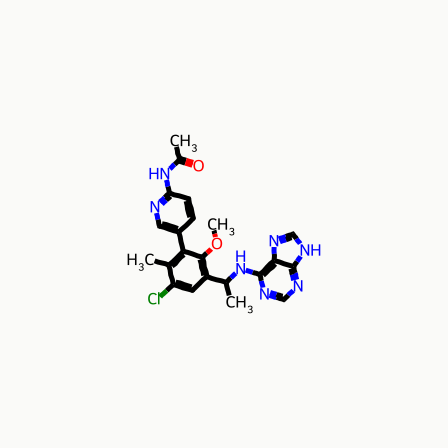 COc1c(C(C)Nc2ncnc3[nH]cnc23)cc(Cl)c(C)c1-c1ccc(NC(C)=O)nc1